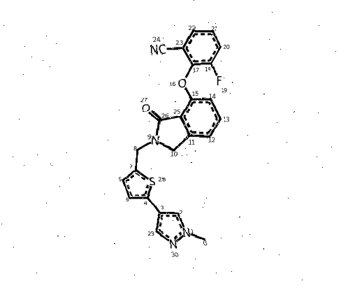 Cn1cc(-c2ccc(CN3Cc4cccc(Oc5c(F)cccc5C#N)c4C3=O)s2)cn1